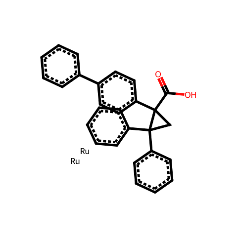 O=C(O)C1(c2ccc(-c3ccccc3)cc2)CC1(c1ccccc1)c1ccccc1.[Ru].[Ru]